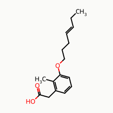 CCC=CCCCOc1cccc(CC(=O)O)c1C